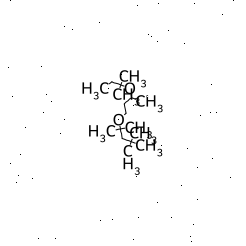 CCC(C)(C)OC(C)CCOC(C)(C)CC(C)(C)C